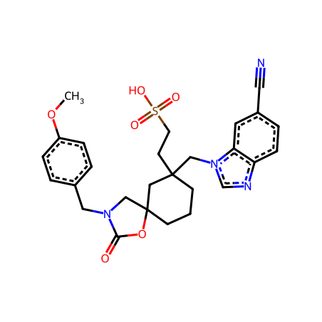 COc1ccc(CN2CC3(CCCC(CCS(=O)(=O)O)(Cn4cnc5ccc(C#N)cc54)C3)OC2=O)cc1